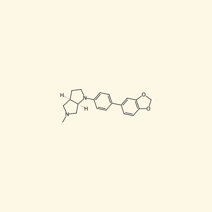 CN1C[C@H]2CCN(c3ccc(-c4ccc5c(c4)OCO5)cc3)[C@H]2C1